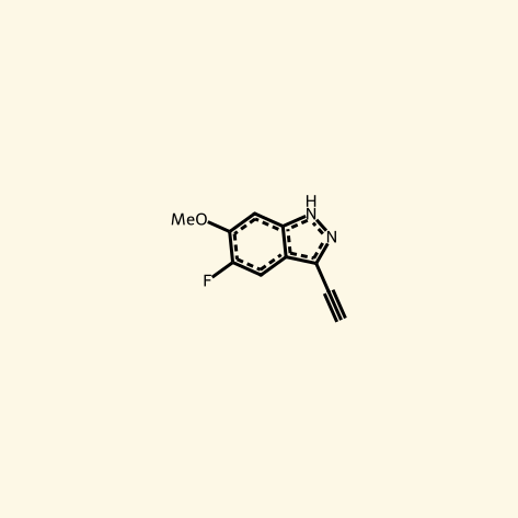 C#Cc1n[nH]c2cc(OC)c(F)cc12